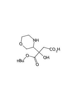 CCCCOC(=O)C(O)(CC(=O)O)C1COCCN1